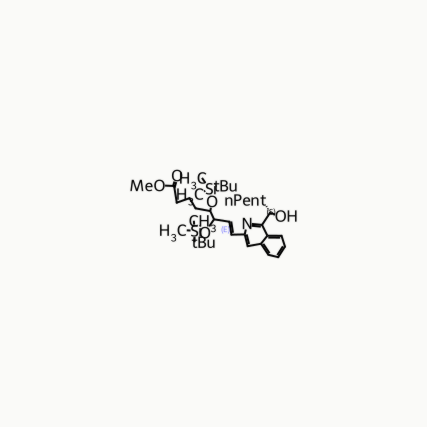 CCCCC[C@H](O)c1nc(/C=C/C(O[Si](C)(C)C(C)(C)C)C(CCCC(=O)OC)O[Si](C)(C)C(C)(C)C)cc2ccccc12